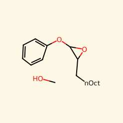 CCCCCCCCCC1OC1Oc1ccccc1.CO